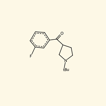 CC(C)(C)N1CCC(C(=O)c2cccc(F)c2)C1